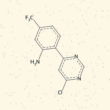 Nc1cc(C(F)(F)F)ccc1-c1cc(Cl)ncn1